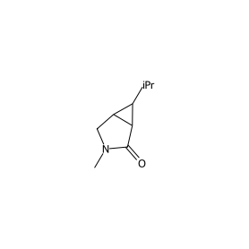 CC(C)C1C2CN(C)C(=O)C21